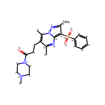 CSc1nn2c(C)c(CCC(=O)N3CCN(C)CC3)c(C)nc2c1S(=O)(=O)c1ccccc1